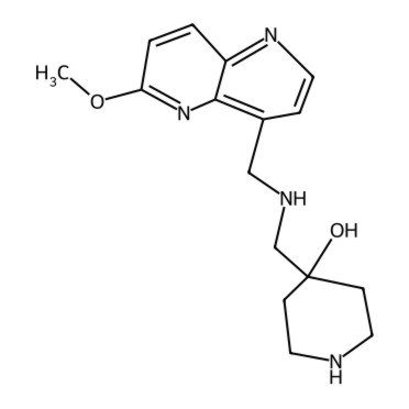 COc1ccc2nccc(CNCC3(O)CCNCC3)c2n1